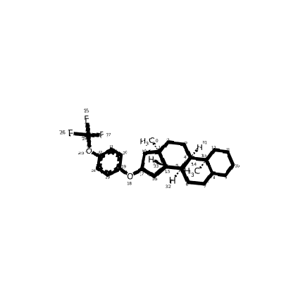 C[C@]12CC[C@@H]3[C@@H](CCC4CCCC[C@@]43C)[C@@H]1CC(Oc1ccc(OC(F)(F)F)cc1)C2